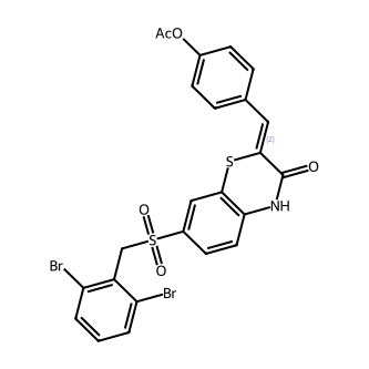 CC(=O)Oc1ccc(/C=C2\Sc3cc(S(=O)(=O)Cc4c(Br)cccc4Br)ccc3NC2=O)cc1